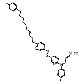 CCCCCCC=CCN(c1ccc(C)cc1)c1ccc(SSc2ccc(CCC=CCCCCCCc3ccc(C)cc3)nc2)cn1